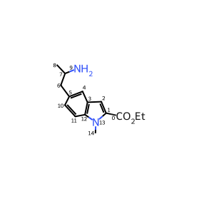 CCOC(=O)c1cc2cc(CC(C)N)ccc2n1C